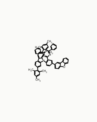 Cc1cc(C)c(-c2ccc3c4ccc(-c5c(C)cc(C)cc5C)cc4n(-c4ccc(-c5ccc6oc7ccccc7c6c5)cc4-c4nc(-c5ccccc5)nc(-c5ccccc5)n4)c3c2)c(C)c1